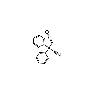 N#CC(C=C=O)(c1ccccc1)c1ccccc1